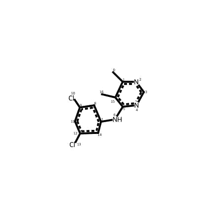 Cc1ncnc(Nc2cc(Cl)cc(Cl)c2)c1C